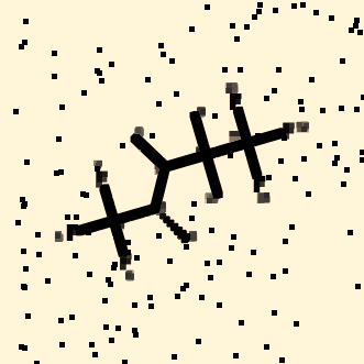 CC([C@H](C)C(F)(F)F)C(C)(C)C(F)(F)F